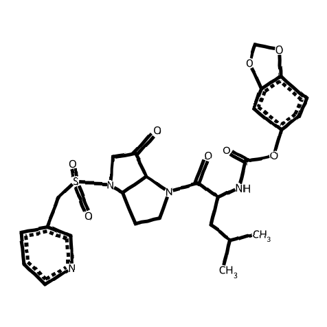 CC(C)CC(NC(=O)Oc1ccc2c(c1)OCO2)C(=O)N1CCC2C1C(=O)CN2S(=O)(=O)Cc1cccnc1